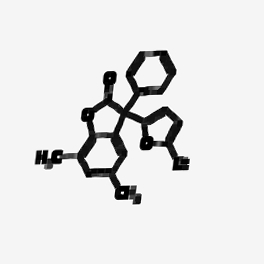 CCc1ccc(C2(c3ccccc3)C(=O)Oc3c(C)cc(C)cc32)o1